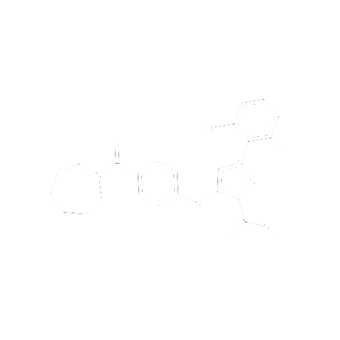 NC(=O)c1nn(-c2c(Cl)cccc2Cl)cc1Nc1ccc(C(=O)N2CCCCCC2)cc1